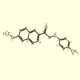 COc1ccc2cc(C(=O)COc3ccc(C)cc3)ccc2c1